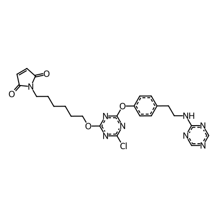 O=C1C=CC(=O)N1CCCCCCOc1nc(Cl)nc(Oc2ccc(CCNc3ncncn3)cc2)n1